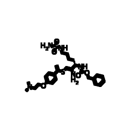 C=C(S/C=C(\N)[C@H](CCCCNS(N)(=O)=O)NC(=O)OCc1ccccc1)c1ccc(OCCN(C)C)cc1